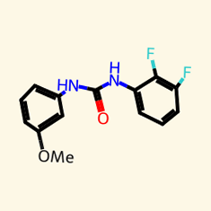 COc1cccc(NC(=O)Nc2cccc(F)c2F)c1